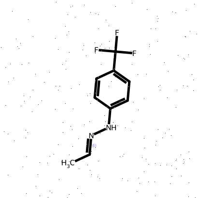 C/C=N/Nc1ccc(C(F)(F)F)cc1